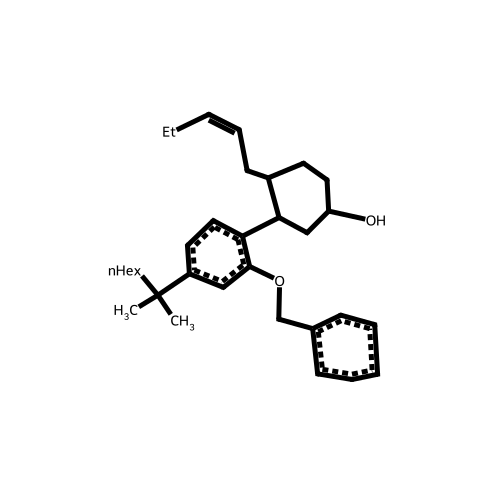 CC/C=C\CC1CCC(O)CC1c1ccc(C(C)(C)CCCCCC)cc1OCc1ccccc1